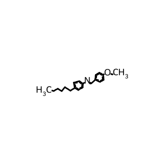 CCCCCCc1ccc(N=Cc2ccc(OCC)cc2)cc1